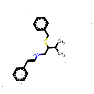 CC(C)C(CNC=Cc1ccccc1)SCc1ccccc1